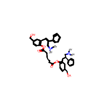 CC(C)N(CC(Cc1cc(CO)ccc1OC(=O)CCCCC(=O)Oc1ccc(CO)cc1CC(CN(C(C)C)C(C)C)c1ccccc1)c1ccccc1)C(C)C